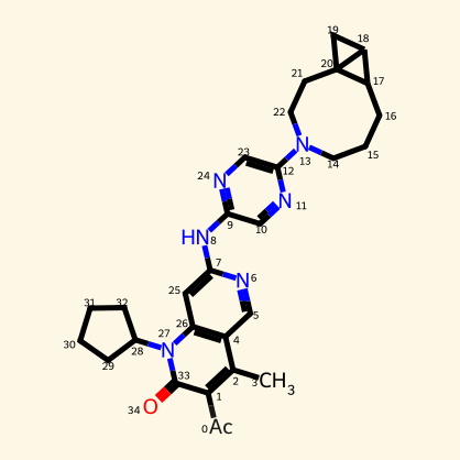 CC(=O)c1c(C)c2cnc(Nc3cnc(N4CCCC5C6CC56CC4)cn3)cc2n(C2CCCC2)c1=O